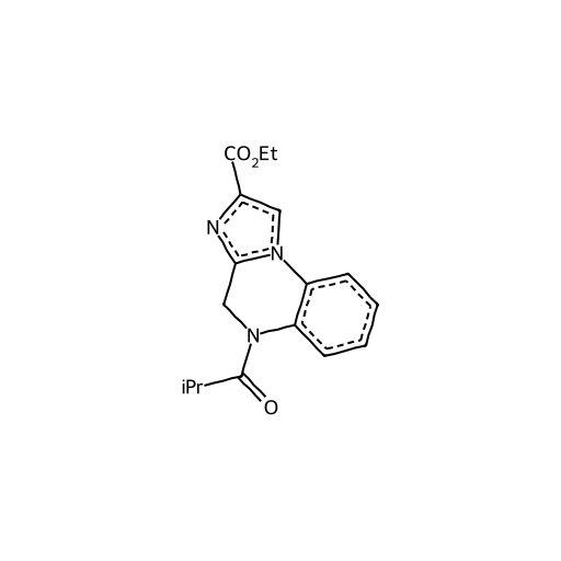 CCOC(=O)c1cn2c(n1)CN(C(=O)C(C)C)c1ccccc1-2